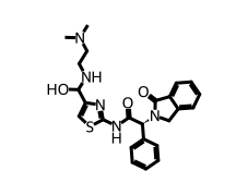 CN(C)CCNC(O)c1csc(NC(=O)[C@@H](c2ccccc2)N2Cc3ccccc3C2=O)n1